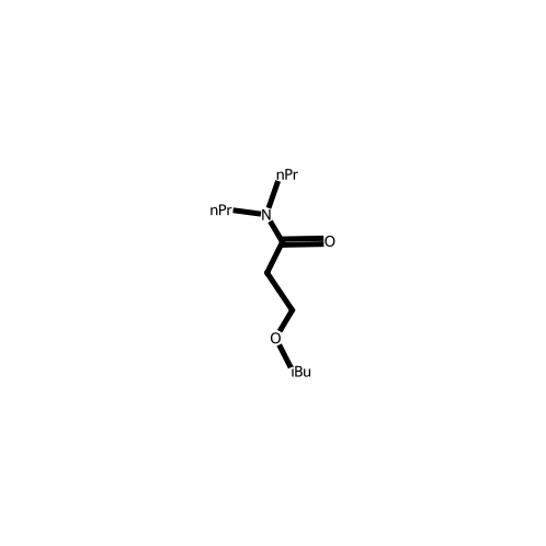 CCCN(CCC)C(=O)CCOC(C)CC